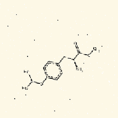 COC(=O)[C@@H](N)Cc1ccc(OB(O)O)cc1